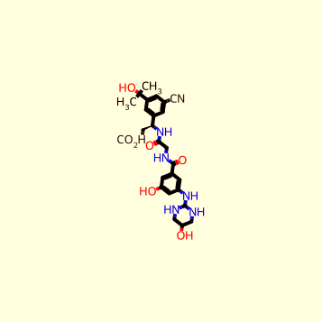 CC(C)(O)c1cc(C#N)cc([C@H](CC(=O)O)NC(=O)CNC(=O)c2cc(O)cc(NC3NCC(O)CN3)c2)c1